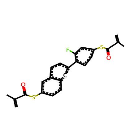 C=C(C)C(=O)Sc1ccc(-c2ccc3cc(SC(=O)C(=C)C)ccc3c2)c(F)c1